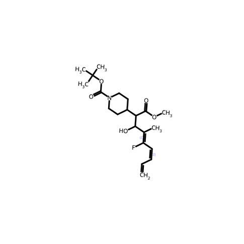 C=C/C=C\C(F)=C(/C)C(O)C(C(=O)OC)C1CCN(C(=O)OC(C)(C)C)CC1